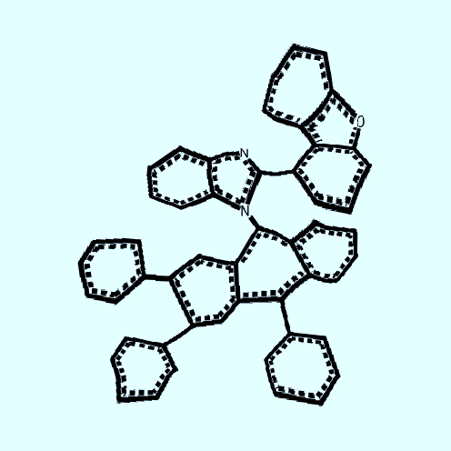 c1ccc(-c2cc3c(-c4ccccc4)c4ccccc4c(-n4c(-c5cccc6oc7ccccc7c56)nc5ccccc54)c3cc2-c2ccccc2)cc1